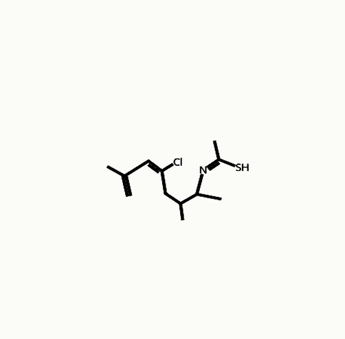 C=C(C)/C=C(/Cl)CC(C)C(C)/N=C(/C)S